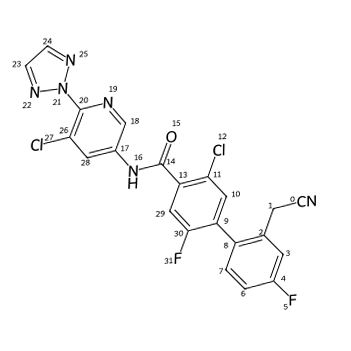 N#CCc1cc(F)ccc1-c1cc(Cl)c(C(=O)Nc2cnc(-n3nccn3)c(Cl)c2)cc1F